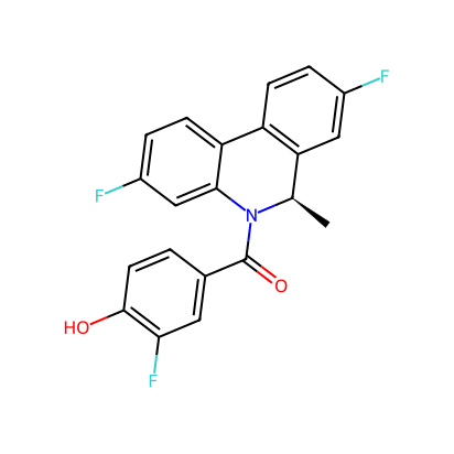 C[C@@H]1c2cc(F)ccc2-c2ccc(F)cc2N1C(=O)c1ccc(O)c(F)c1